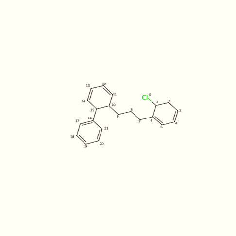 ClC1CC=CC=C1CCCC1C=CC=CC1c1ccccc1